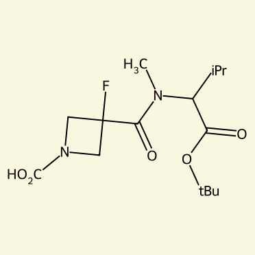 CC(C)C(C(=O)OC(C)(C)C)N(C)C(=O)C1(F)CN(C(=O)O)C1